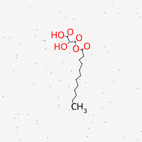 CCCCCCCCCCCC(=O)OC(=O)C(O)C(=O)O